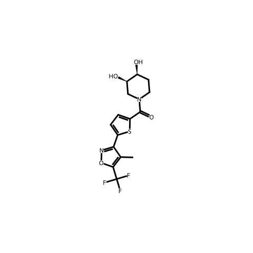 Cc1c(-c2ccc(C(=O)N3CC[C@H](O)[C@H](O)C3)s2)noc1C(F)(F)F